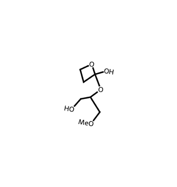 COCC(CO)OC1(O)CCO1